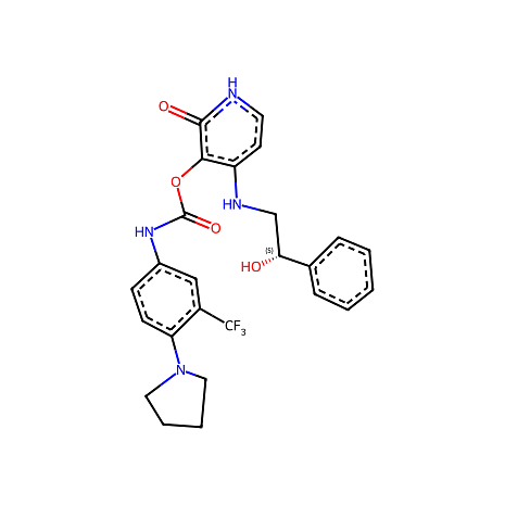 O=C(Nc1ccc(N2CCCC2)c(C(F)(F)F)c1)Oc1c(NC[C@@H](O)c2ccccc2)cc[nH]c1=O